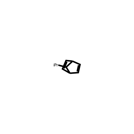 CC(C)C1C2C=CC1C=C2